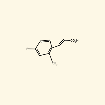 Cc1cc(F)ccc1C=CC(=O)O